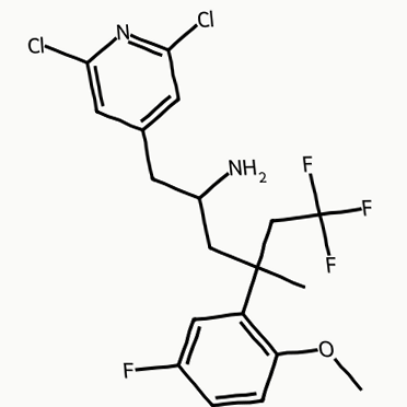 COc1ccc(F)cc1C(C)(CC(N)Cc1cc(Cl)nc(Cl)c1)CC(F)(F)F